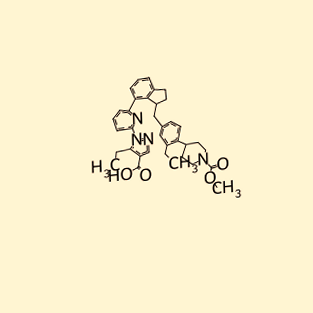 CCc1cc(CC2CCc3cccc(-c4cccc(-n5ncc(C(=O)O)c5CC)n4)c32)ccc1C1CCN(C(=O)OC)CC1